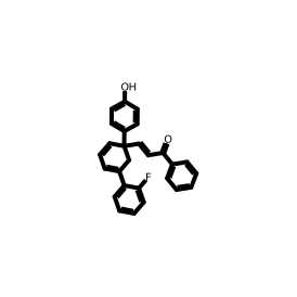 O=C(C=CC1(c2ccc(O)cc2)C=CC=C(c2ccccc2F)C1)c1ccccc1